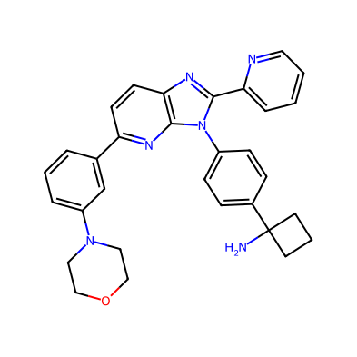 NC1(c2ccc(-n3c(-c4ccccn4)nc4ccc(-c5cccc(N6CCOCC6)c5)nc43)cc2)CCC1